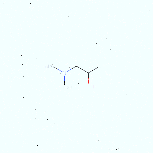 CCCCN(CCCC)CC(C)O